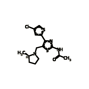 CC(=O)Nc1nc(-c2cc(Cl)cs2)c(CN2CCC[C@H]2C)s1